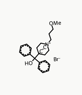 COCCC[N+]12CCC(C(O)(c3ccccc3)c3ccccc3)(CC1)CC2.[Br-]